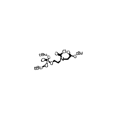 CC(C)(C)OC(=O)CN(CCOP(=O)(OC(C)(C)C)OC(C)(C)C)C(=O)Cl